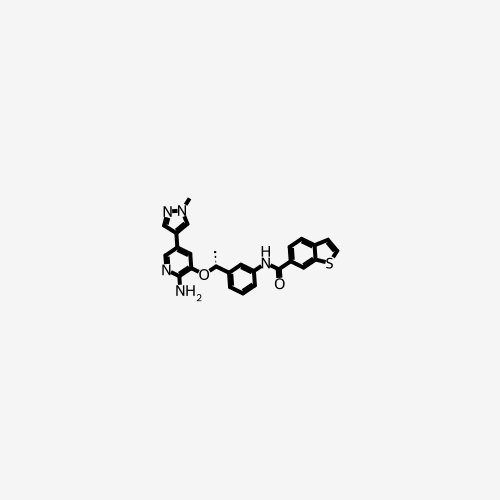 C[C@@H](Oc1cc(-c2cnn(C)c2)cnc1N)c1cccc(NC(=O)c2ccc3ccsc3c2)c1